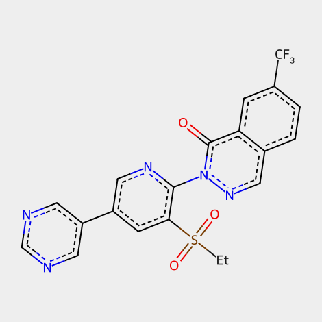 CCS(=O)(=O)c1cc(-c2cncnc2)cnc1-n1ncc2ccc(C(F)(F)F)cc2c1=O